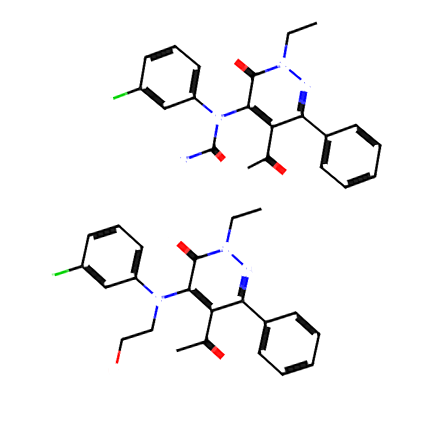 CCn1nc(-c2ccccc2)c(C(C)=O)c(N(C(N)=O)c2cccc(Cl)c2)c1=O.CCn1nc(-c2ccccc2)c(C(C)=O)c(N(CCO)c2cccc(Cl)c2)c1=O